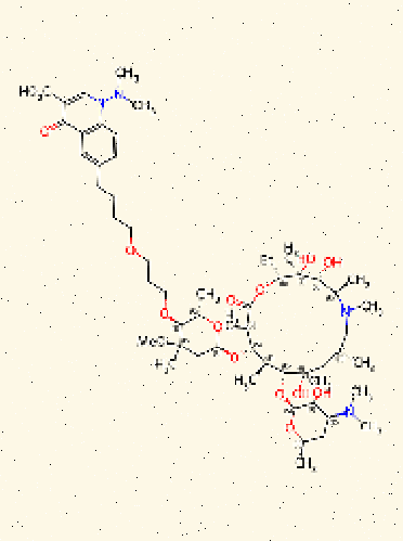 CC[C@H]1OC(=O)[C@H](C)[C@@H](O[C@H]2C[C@@](C)(OC)[C@@H](OCCCOCCCCc3ccc4c(c3)c(=O)c(C(=O)O)cn4N(C)C)[C@H](C)O2)[C@H](C)[C@@H](O[C@@H]2O[C@H](C)C[C@H](N(C)C)[C@H]2O)[C@](C)(O)C[C@@H](C)CN(C)[C@H](C)[C@@H](O)[C@]1(C)O